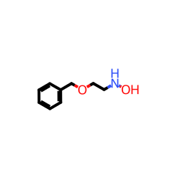 ONCCOCc1ccccc1